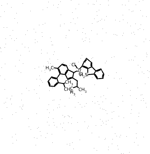 Cc1ccc2c(c1-c1ccccc1C(C)C)C=C(CC(C)C)[CH]2[Zr]([Cl])([Cl])[c]1cccc2c1[SiH2]c1ccccc1-2